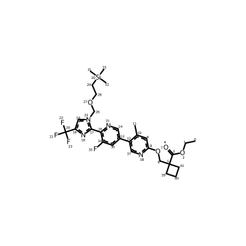 CCOC(=O)C1(COc2cc(C)c(-c3cnc(-c4nc(C(F)(F)F)cn4COCC[Si](C)(C)C)c(F)c3)cn2)CCC1